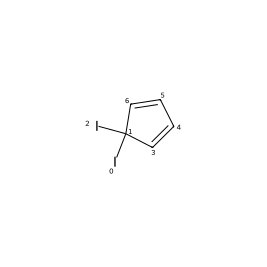 IC1(I)C=CC=C1